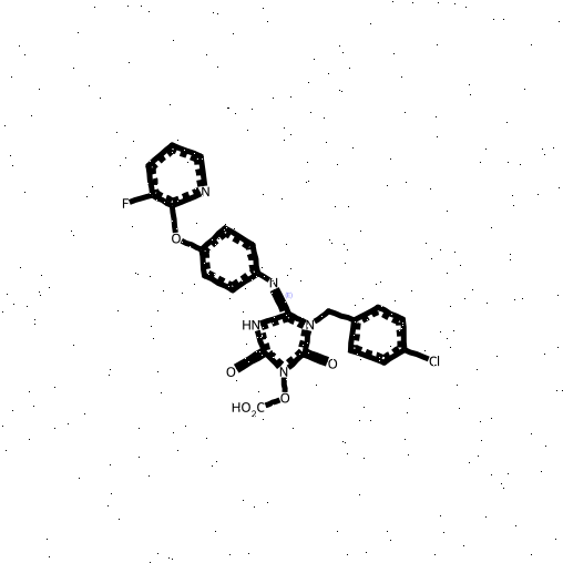 O=C(O)On1c(=O)[nH]/c(=N\c2ccc(Oc3ncccc3F)cc2)n(Cc2ccc(Cl)cc2)c1=O